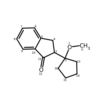 COC1(C2Cc3ccccc3C2=O)CCCC1